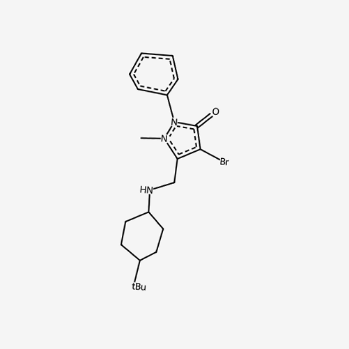 Cn1c(CNC2CCC(C(C)(C)C)CC2)c(Br)c(=O)n1-c1ccccc1